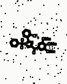 COc1cc(C(=O)c2cn(S(=O)(=O)c3ccccc3)c(-c3ccccc3C(F)(F)F)n2)cc(OC)c1OC